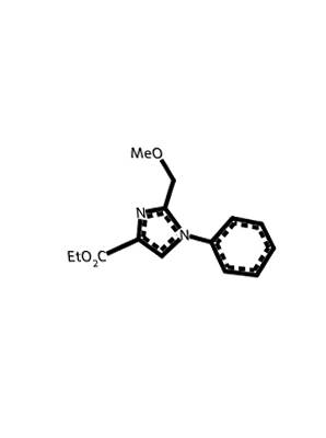 CCOC(=O)c1cn(-c2ccccc2)c(COC)n1